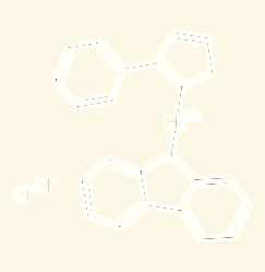 C1=CC(c2ccccc2)=[C]([Hf+2][CH]2c3ccccc3-c3ccccc32)C1.[Cl-].[Cl-]